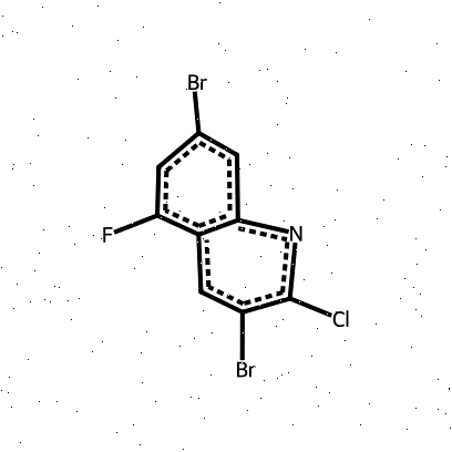 Fc1cc(Br)cc2nc(Cl)c(Br)cc12